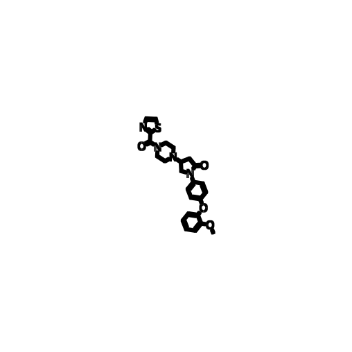 COc1ccccc1Oc1ccc(N2CC(N3CCN(C(=O)c4nccs4)CC3)CC2=O)cc1